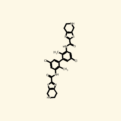 Cc1c(NC(=O)c2nc3c(s2)CNCC3)cc(Cl)cc1-c1cc(Cl)cc(NC(=O)c2nc3c(s2)CNCC3)c1C